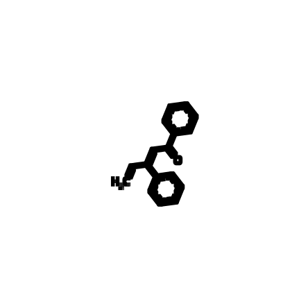 C=CC(=CC(=O)c1ccccc1)c1ccccc1